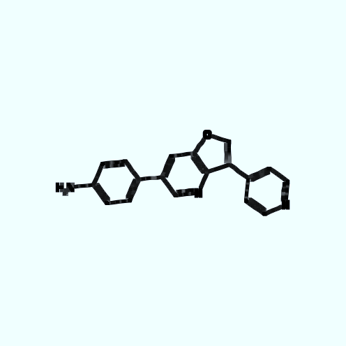 Nc1ccc(-c2cnc3c(-c4ccncc4)coc3c2)cc1